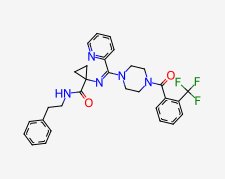 O=C(c1ccccc1C(F)(F)F)N1CCN(C(=NC2(C(=O)NCCc3ccccc3)CC2)c2ccccn2)CC1